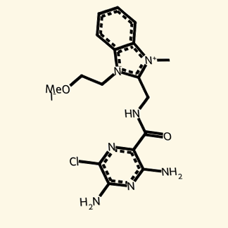 COCCn1c(CNC(=O)c2nc(Cl)c(N)nc2N)[n+](C)c2ccccc21.[I-]